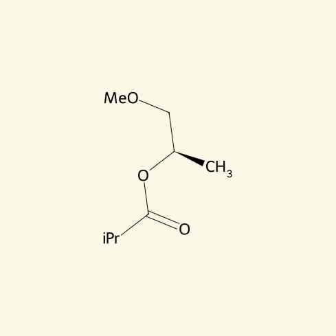 COC[C@@H](C)OC(=O)C(C)C